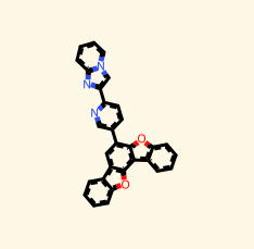 c1ccc2c(c1)oc1c2cc(-c2ccc(-c3cn4ccccc4n3)nc2)c2oc3ccccc3c21